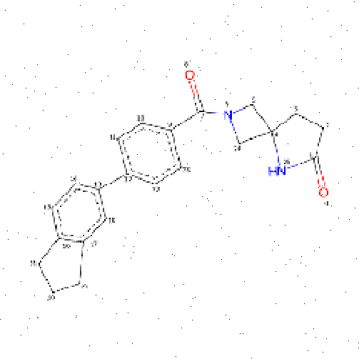 O=C1CCC2(CN(C(=O)c3ccc(-c4ccc5c(c4)CCC5)cc3)C2)N1